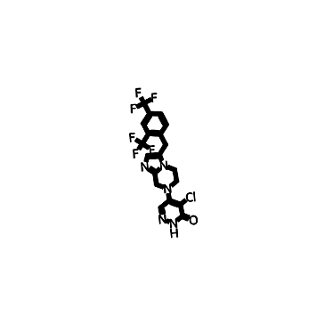 O=c1[nH]ncc(N2CCn3c(Cc4ccc(C(F)(F)F)cc4C(F)(F)F)cnc3C2)c1Cl